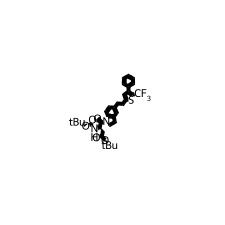 CC(C)(C)OC(=O)C[C@@H](NC(=O)OC(C)(C)C)C(=O)N1CCc2cc(CCc3cc(-c4ccccc4)c(C(F)(F)F)s3)ccc21